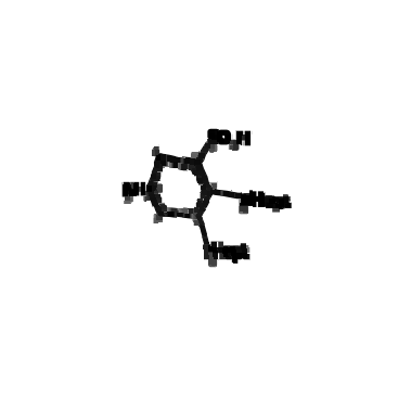 CCCCCCCc1cccc(S(=O)(=O)O)c1CCCCCCC.N